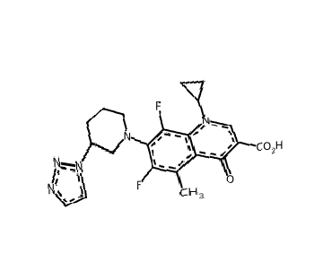 Cc1c(F)c(N2CCCC(n3ccnn3)C2)c(F)c2c1c(=O)c(C(=O)O)cn2C1CC1